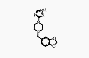 c1nc(N2CCN(Cc3ccc4c(c3)OCO4)CC2)n[nH]1